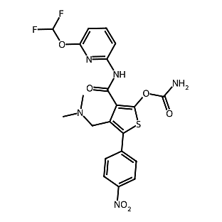 CN(C)Cc1c(-c2ccc([N+](=O)[O-])cc2)sc(OC(N)=O)c1C(=O)Nc1cccc(OC(F)F)n1